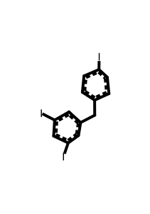 Ic1ccc(Cc2cc(I)cc(I)c2)cc1